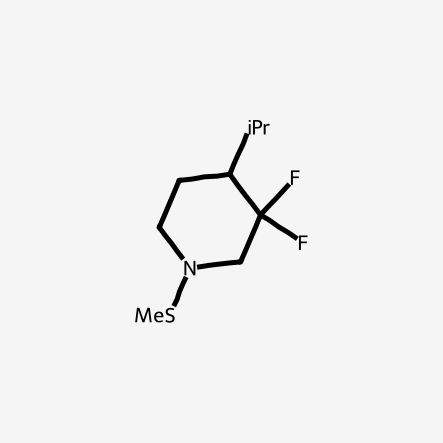 CSN1CCC(C(C)C)C(F)(F)C1